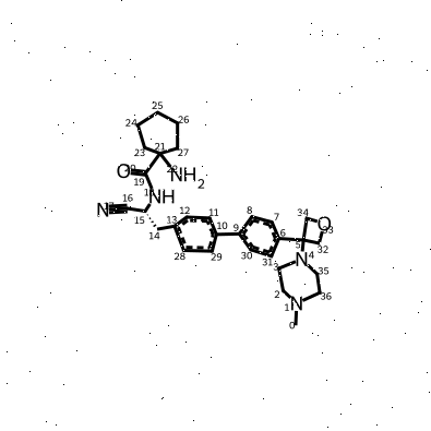 CN1CCN(C2(c3ccc(-c4ccc(C[C@H](C#N)NC(=O)C5(N)CCCCC5)cc4)cc3)COC2)CC1